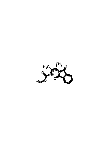 C[C@@H](NC(=O)OC(C)(C)C)[C@H](C)N1C(=O)c2ccccc2C1=O